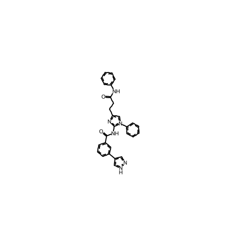 O=C(CCc1cn(-c2ccccc2)c(NC(=O)c2cccc(-c3cn[nH]c3)c2)n1)Nc1ccccc1